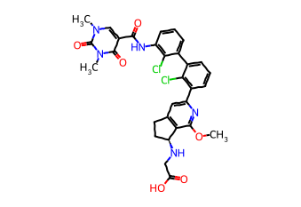 COc1nc(-c2cccc(-c3cccc(NC(=O)c4cn(C)c(=O)n(C)c4=O)c3Cl)c2Cl)cc2c1[C@@H](NCC(=O)O)CC2